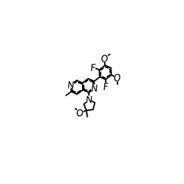 COc1cc(OC)c(F)c(-c2cc3cnc(C)cc3c(N3CCC(C)(OC)C3)n2)c1F